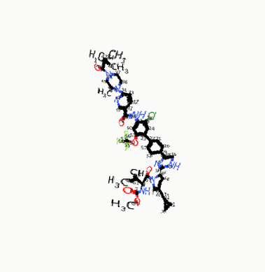 COC(=O)N[C@H](C(=O)N1CC(C2CC2)=C[C@H]1c1nc(-c2ccc(-c3cc(Cl)c(NC(=O)c4ccc(N5CCN(C(=O)C(C)(C)C)C[C@H]5C)nc4)cc3OC(F)(F)F)cc2)c[nH]1)C(C)C